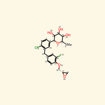 CSC1OC(c2ccc(Cl)c(Cc3ccc(OC[C@@H]4CO4)c(F)c3)c2)C(O)C(O)C1O